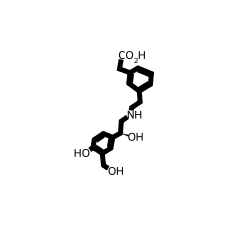 O=C(O)Cc1cccc(CCNC[C@H](O)c2ccc(O)c(CO)c2)c1